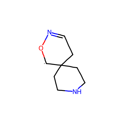 [CH]1ON=CCC12CCNCC2